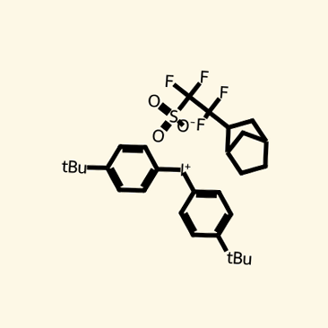 CC(C)(C)c1ccc([I+]c2ccc(C(C)(C)C)cc2)cc1.O=S(=O)([O-])C(F)(F)C(F)(F)C1CC2CCC1C2